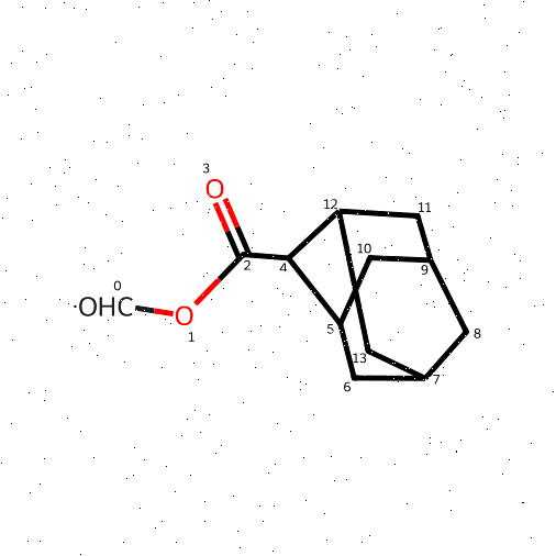 O=[C]OC(=O)C1C2CC3CC(C2)CC1C3